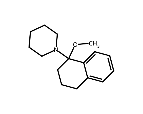 COC1(N2CCCCC2)CCCc2ccccc21